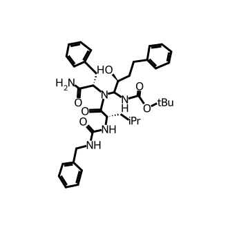 CC(C)C[C@H](NC(=O)NCc1ccccc1)C(=O)N(C(NC(=O)OC(C)(C)C)[C@@H](O)CCc1ccccc1)[C@@H](Cc1ccccc1)C(N)=O